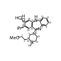 COCC[C@H]1CN(C2=Nc3ccccc3Nc3ccc(C(C)C)cc32)CCN1C.Cl.Cl